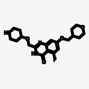 O=c1[nH]c(COC2CCNCC2)nc2cc(OCC3CCOCC3)cc(F)c12